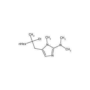 CCCCCCC(C)(CC)Cc1cnc(N(C)C)n1C